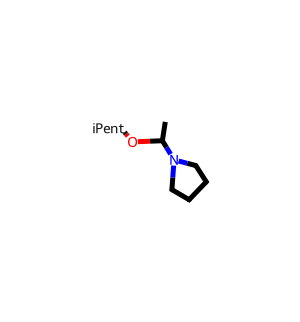 CCCC(C)OC(C)N1CCCC1